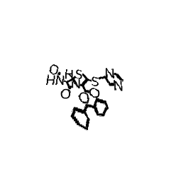 O=CN[C@@H]1C(=O)N2C(C(=O)OC(c3ccccc3)c3ccccc3)=C(SCc3cnccn3)CS[C@@H]12